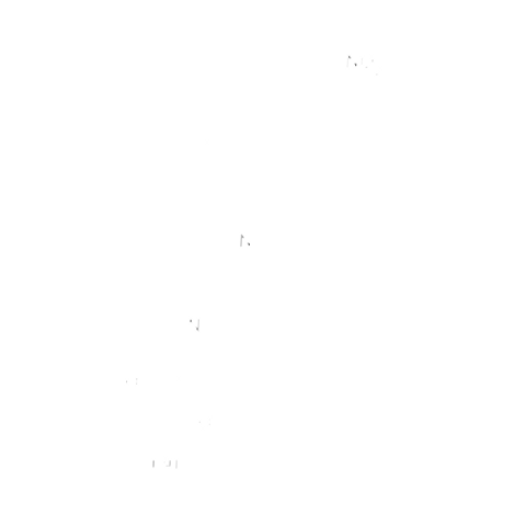 CC(C)(C)OC(=O)N1CCN(c2ccc([N+](=O)[O-])cc2C2=CCCC2)CC1